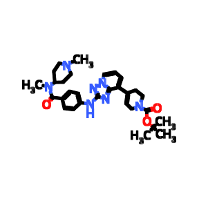 CN1CCC(N(C)C(=O)c2ccc(Nc3nc4c(C5=CCN(C(=O)OC(C)(C)C)CC5)cccn4n3)cc2)CC1